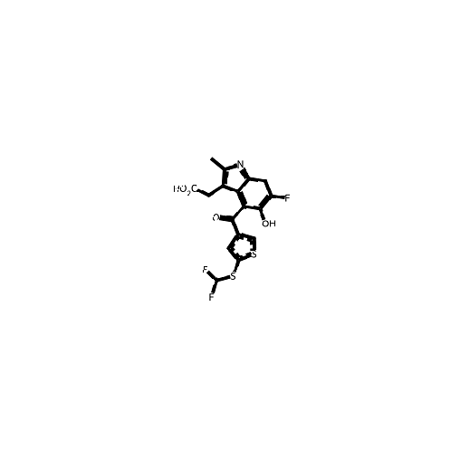 CC1=C(CC(=O)O)C2=C(C(=O)c3csc(SC(F)F)c3)C(O)=C(F)CC2=N1